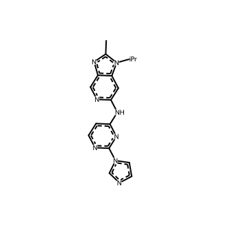 Cc1nc2cnc(Nc3ccnc(-n4ccnc4)n3)cc2n1C(C)C